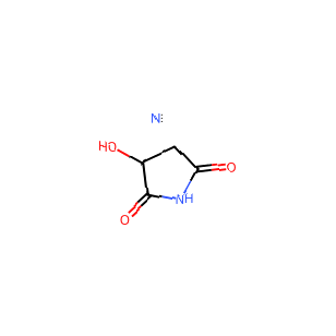 O=C1CC(O)C(=O)N1.[N]